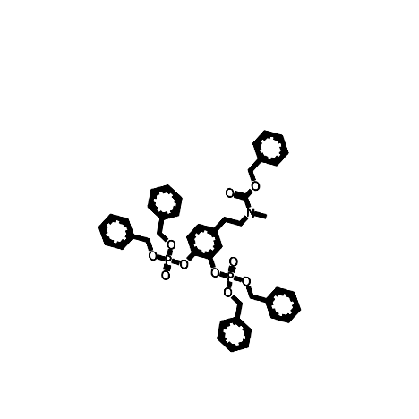 CN(CCc1ccc(OP(=O)(OCc2ccccc2)OCc2ccccc2)c(OP(=O)(OCc2ccccc2)OCc2ccccc2)c1)C(=O)OCc1ccccc1